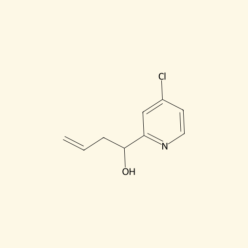 C=CCC(O)c1cc(Cl)ccn1